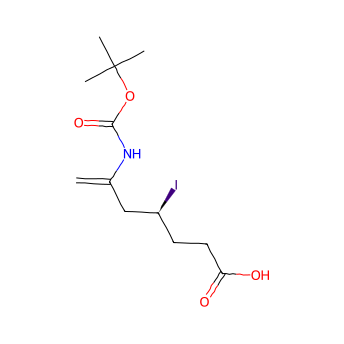 C=C(C[C@@H](I)CCC(=O)O)NC(=O)OC(C)(C)C